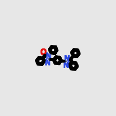 O=c1c2ccccc2nc(-c2ccc(-c3nc(-c4ccccc4)c4ccccc4n3)cc2)n1-c1ccccc1